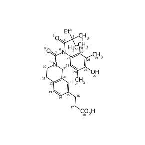 CCC(C)(C)C(=O)N(C(=O)N1CCc2ccc(CCC(=O)O)cc2C1)c1cc(C)c(O)c(C)c1C